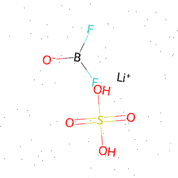 O=S(=O)(O)O.[Li+].[O-]B(F)F